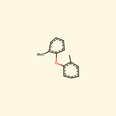 CSc1ccccc1Oc1ccccc1C